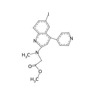 COC(=O)CN(C)c1cc(-c2ccncc2)c2cc(I)ccc2n1